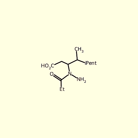 CCCC(C)C(C)C(CC(=O)O)N(N)C(=O)CC